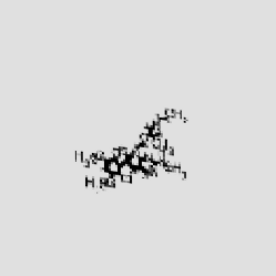 C=CCN1CC(C)(OCCn2c(=O)c(-c3c(Cl)c(OC)cc(OC)c3Cl)cc3cnc(NC)nc32)C1